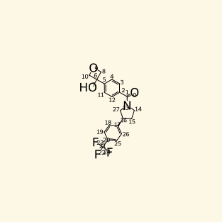 O=C(c1ccc(C2(O)COC2)cc1)N1CC[C@@H](c2ccc(C(F)(F)F)cc2)C1